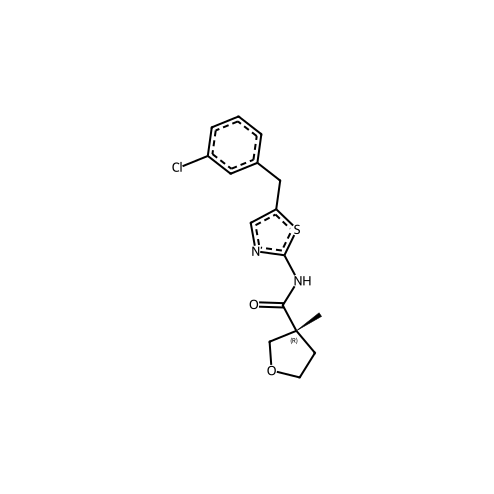 C[C@@]1(C(=O)Nc2ncc(Cc3cccc(Cl)c3)s2)CCOC1